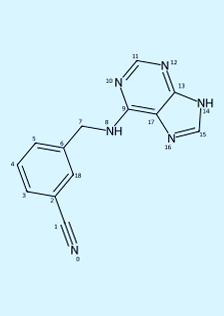 N#Cc1cccc(CNc2ncnc3[nH]cnc23)c1